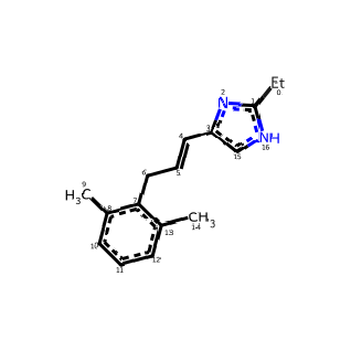 CCc1nc(C=CCc2c(C)cccc2C)c[nH]1